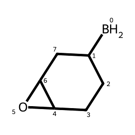 BC1CCC2OC2C1